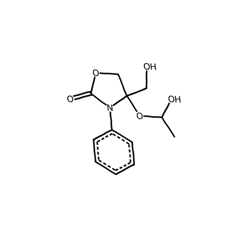 CC(O)OC1(CO)COC(=O)N1c1ccccc1